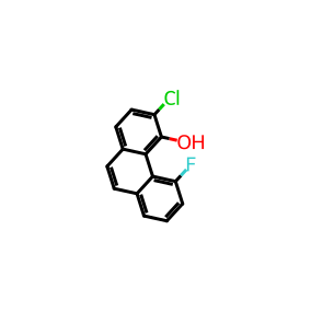 Oc1c(Cl)ccc2ccc3cccc(F)c3c12